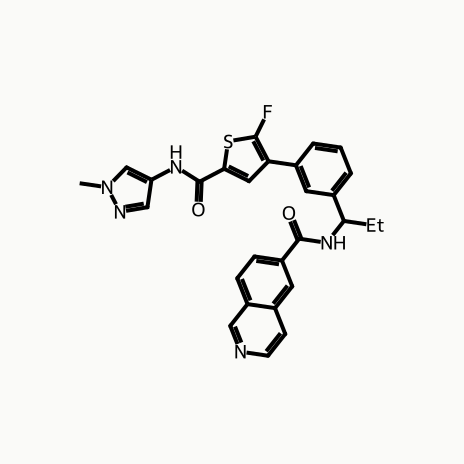 CCC(NC(=O)c1ccc2cnccc2c1)c1cccc(-c2cc(C(=O)Nc3cnn(C)c3)sc2F)c1